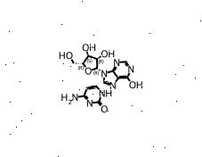 Nc1cc[nH]c(=O)n1.OC[C@H]1O[C@@H](n2cnc3c(O)ncnc32)[C@H](O)[C@@H]1O